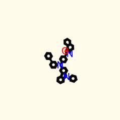 c1ccc(-c2cccc(N(c3ccc(-c4nc5ccc6ccccc6c5o4)cc3)c3ccc4c(c3)c3ccccc3n4-c3ccccc3)c2)cc1